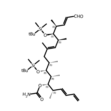 C=CC=C[C@H](C)[C@H](OC(N)=O)[C@@H](C)[C@H](O[Si](C)(C)C(C)(C)C)[C@@H](C)CC(C)=C[C@H](C)[C@@H](O[Si](C)(C)C(C)(C)C)[C@@H](C)C=CC=O